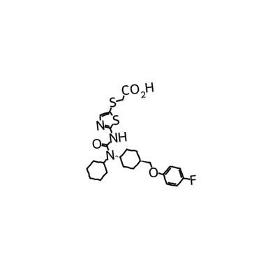 O=C(O)CSc1cnc(NC(=O)N(C2CCCCC2)[C@H]2CC[C@H](COc3ccc(F)cc3)CC2)s1